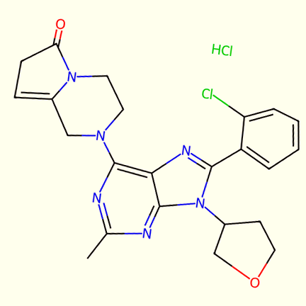 Cc1nc(N2CCN3C(=O)CC=C3C2)c2nc(-c3ccccc3Cl)n(C3CCOC3)c2n1.Cl